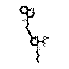 CCCCOc1ccc(C#CCCNc2ccnc3ccccc23)nc1C(=O)OC